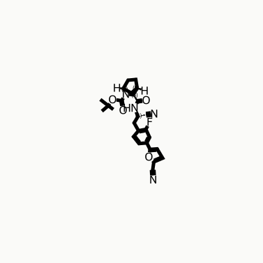 CC(C)(C)OC(=O)N1[C@@H]2CC[C@@H](C2)[C@H]1C(=O)N[C@H](C#N)Cc1ccc(-c2ccc(C#N)o2)cc1F